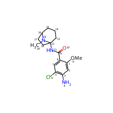 COc1cc(N)c(Cl)cc1C(=O)NC12CCCC(CC1)N2C